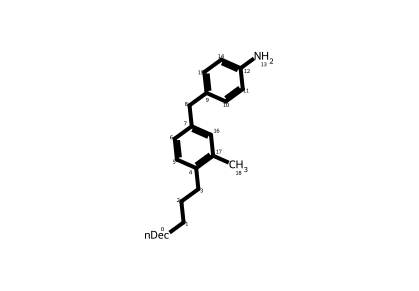 CCCCCCCCCCCCCc1ccc(Cc2ccc(N)cc2)cc1C